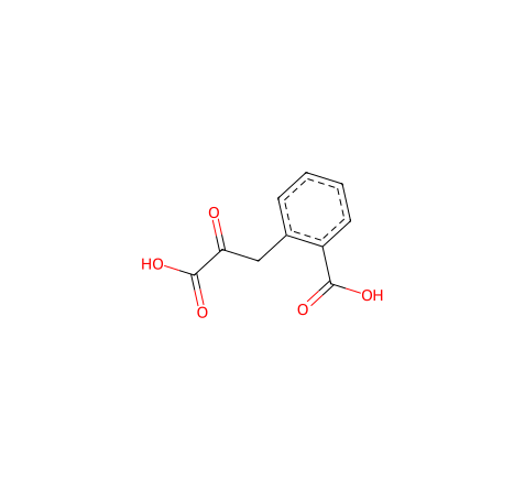 O=C(O)C(=O)Cc1ccccc1C(=O)O